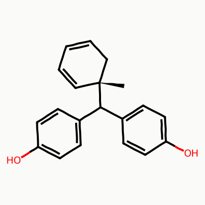 C[C@@]1(C(c2ccc(O)cc2)c2ccc(O)cc2)C=CC=CC1